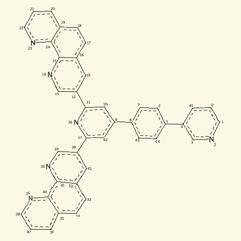 c1cncc(-c2ccc(-c3cc(-c4cnc5c(ccc6cccnc65)c4)nc(-c4cnc5c(ccc6cccnc65)c4)c3)cc2)c1